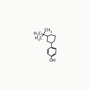 CC(C)(C)C1CCCC(c2ccc(O)cc2)C1